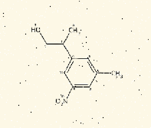 [CH2]C(CO)c1cc(C)cc([N+](=O)[O-])c1